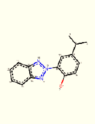 CC(C)c1ccc([O])c(-n2nc3ccccc3n2)c1